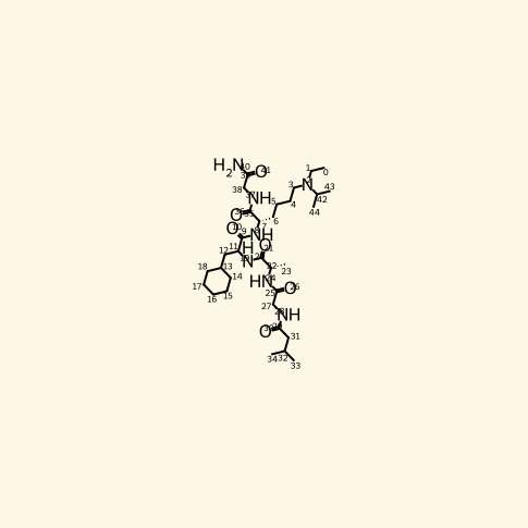 CCN(CCCC[C@H](NC(=O)C(CC1CCCCC1)NC(=O)[C@H](C)NC(=O)CNC(=O)CC(C)C)C(=O)NCC(N)=O)C(C)C